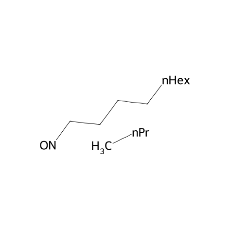 CCCC.CCCCCCCCCCN=O